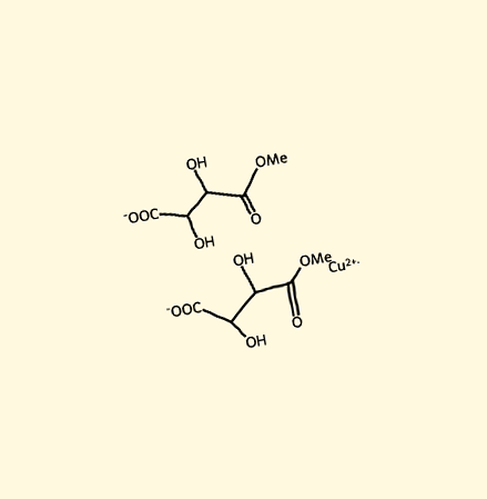 COC(=O)C(O)C(O)C(=O)[O-].COC(=O)C(O)C(O)C(=O)[O-].[Cu+2]